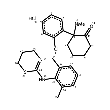 CNC1(c2ccccc2Cl)CCCCC1=O.Cc1cccc(C)c1NC1=NCCCS1.Cl